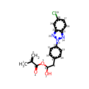 C=C(C)C(=O)OC(O)Cc1ccc(-n2nc3ccc(Cl)cc3n2)cc1